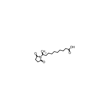 C=C(CCCCCCCCC(=O)O)N1C(=O)CCC1=O